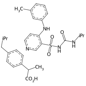 CC(C)Cc1ccc(C(C)C(=O)O)cc1.Cc1cccc(Nc2ccncc2S(=O)(=O)NC(=O)NC(C)C)c1